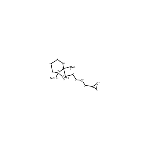 COC1(CCCOCC2CO2)CCCC[Si]1(OC)OC